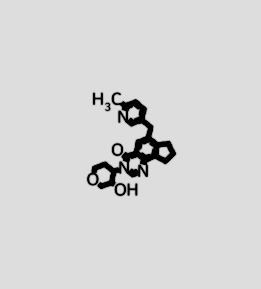 Cc1ccc(Cc2cc3c(=O)n(C4CCOCC4O)cnc3c3c2CCC3)cn1